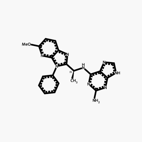 COc1ccc2nc([C@H](C)Nc3nc(N)nc4[nH]cnc34)n(-c3ccccc3)c2n1